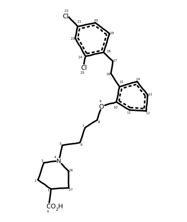 O=C(O)C1CCN(CCCCOc2ccccc2CCc2ccc(Cl)cc2Cl)CC1